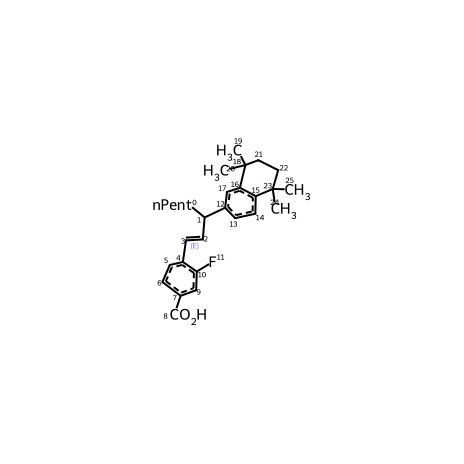 CCCCCC(/C=C/c1ccc(C(=O)O)cc1F)c1ccc2c(c1)C(C)(C)CCC2(C)C